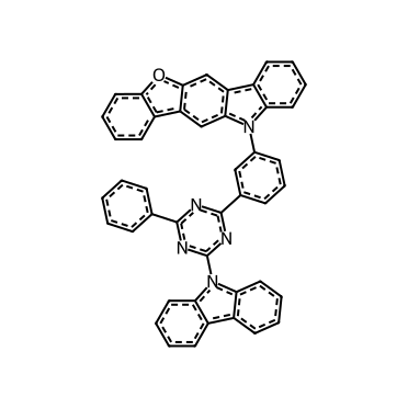 c1ccc(-c2nc(-c3cccc(-n4c5ccccc5c5cc6oc7ccccc7c6cc54)c3)nc(-n3c4ccccc4c4ccccc43)n2)cc1